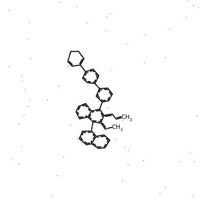 C=C/C=c1/c(-c2cccc(-c3ccc(C4=CCCC=C4)cc3)c2)c2ccccc2c(-c2cccc3ccccc23)/c1=C/C